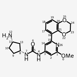 COc1cc(NC(=O)N[C@@H]2CC[C@H](N)C2)cc(-c2cccc3c2OCCO3)n1